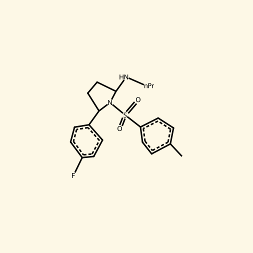 CCCNC1CCC(c2ccc(F)cc2)N1S(=O)(=O)c1ccc(C)cc1